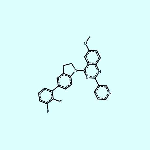 COc1ccc2nc(-c3cccnc3)nc(N3CCc4cc(-c5cccc(F)c5F)ccc43)c2c1